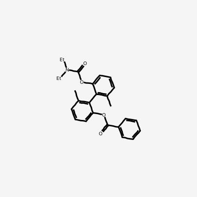 CCN(CC)C(=O)Oc1cccc(C)c1-c1c(C)cccc1OC(=O)c1ccccc1